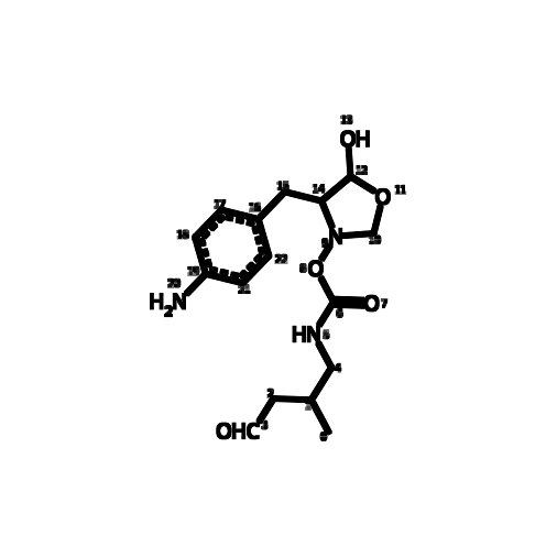 CC(CC=O)CNC(=O)ON1COC(O)C1Cc1ccc(N)cc1